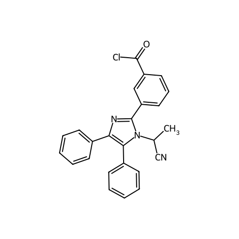 CC(C#N)n1c(-c2cccc(C(=O)Cl)c2)nc(-c2ccccc2)c1-c1ccccc1